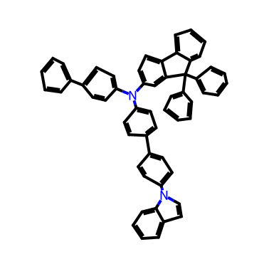 c1ccc(-c2ccc(N(c3ccc(-c4ccc(-n5ccc6ccccc65)cc4)cc3)c3ccc4c(c3)C(c3ccccc3)(c3ccccc3)c3ccccc3-4)cc2)cc1